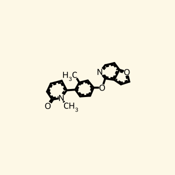 Cc1cc(Oc2nccc3occc23)ccc1-c1cccc(=O)n1C